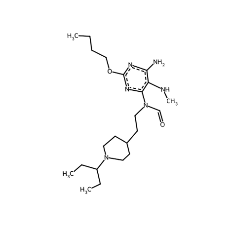 CCCCOc1nc(N)c(NC)c(N(C=O)CCC2CCN(C(CC)CC)CC2)n1